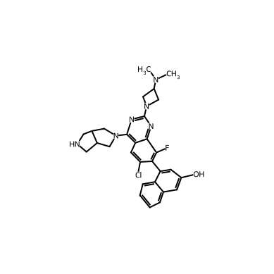 CN(C)C1CN(c2nc(N3CC4CNCC4C3)c3cc(Cl)c(-c4cc(O)cc5ccccc45)c(F)c3n2)C1